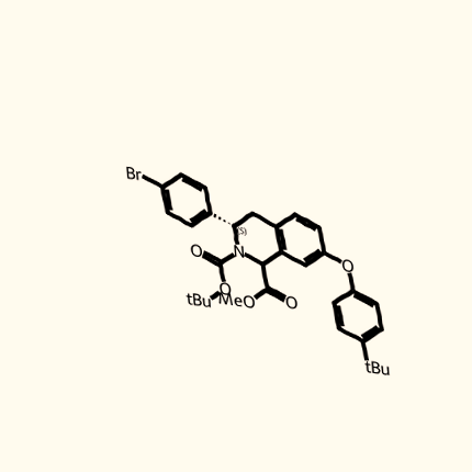 COC(=O)C1c2cc(Oc3ccc(C(C)(C)C)cc3)ccc2C[C@@H](c2ccc(Br)cc2)N1C(=O)OC(C)(C)C